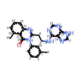 Cc1cccc(-n2c(CCNc3ncnc4[nH]cnc34)nc3cccc(C)c3c2=O)c1